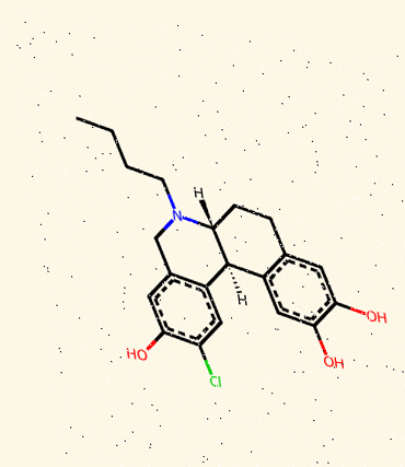 CCCCN1Cc2cc(O)c(Cl)cc2[C@@H]2c3cc(O)c(O)cc3CC[C@H]21